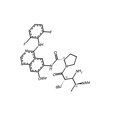 CN[C@@H](C)C(N)[C@@H](C(=O)N1CCC[C@H]1C(=O)Nc1cc2c(Nc3c(F)cccc3F)ncnc2cc1OC)C(C)(C)C